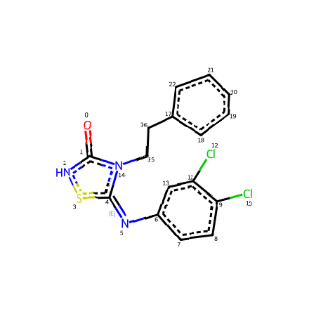 O=c1[nH]s/c(=N/c2ccc(Cl)c(Cl)c2)n1CCc1ccccc1